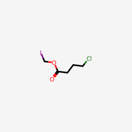 O=C(CCCCl)OCI